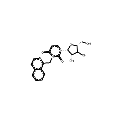 O=c1ccn([C@@H]2O[C@H](CO)C(O)[C@@H]2O)c(=O)n1Cc1nccc2ccccc12